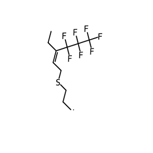 [CH2]CCSCC=C(CC)C(F)(F)C(F)(F)C(F)(F)F